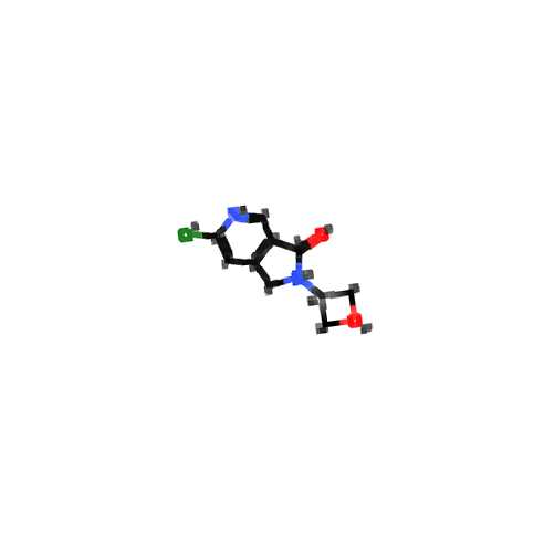 O=C1c2cnc(Cl)cc2CN1C1COC1